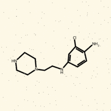 Nc1ccc(NCCN2CCNCC2)cc1Cl